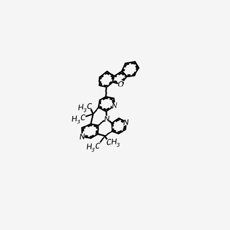 CC1(C)c2ccncc2N2c3ncc(-c4cccc5c4oc4ccccc45)cc3C(C)(C)c3cncc1c32